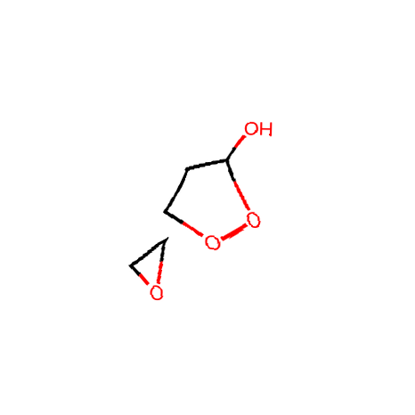 C1CO1.OC1CCOO1